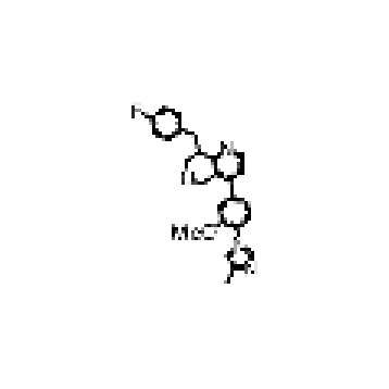 COc1cc(-c2ccnc3c2COCC3Cc2ccc(F)cc2)ccc1-n1cnc(C)c1